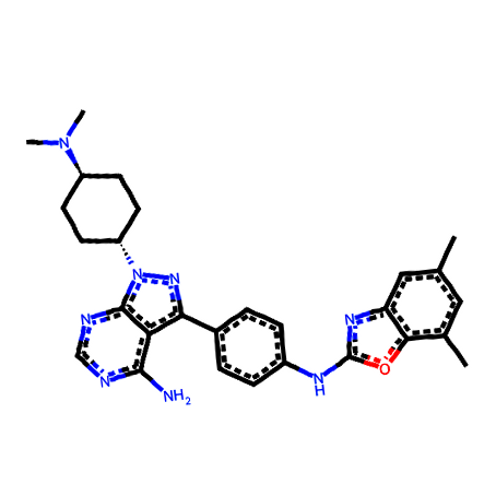 Cc1cc(C)c2oc(Nc3ccc(-c4nn([C@H]5CC[C@H](N(C)C)CC5)c5ncnc(N)c45)cc3)nc2c1